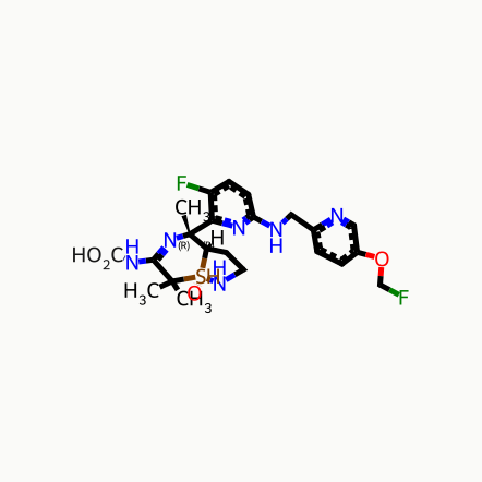 CC1(C)C(NC(=O)O)=N[C@](C)(c2nc(NCc3ccc(OCF)cn3)ccc2F)[C@H]2CCN[SH]21=O